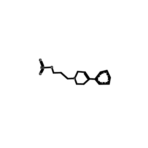 O=[SH](=O)OCCCN1CC=C(c2ccccc2)CC1